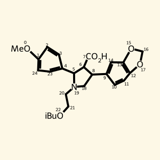 COc1ccc(C2C(C(=O)O)C(c3ccc4c(c3)OCO4)CN2CCOCC(C)C)cc1